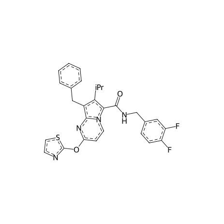 CC(C)c1c(Cc2ccccc2)c2nc(Oc3nccs3)ccn2c1C(=O)NCc1ccc(F)c(F)c1